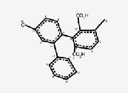 Cc1ccc(C(=O)O)c(-c2ccc(Cl)cc2-c2ccccc2)c1C(=O)O